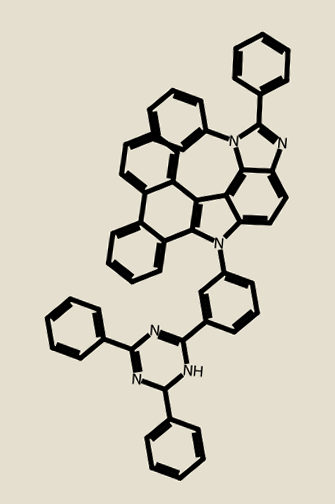 c1ccc(C2=NC(c3ccccc3)NC(c3cccc(-n4c5ccc6nc(-c7ccccc7)n(-c7ccccc7)c6c5c5c6ccccc6c6ccccc6c54)c3)=N2)cc1